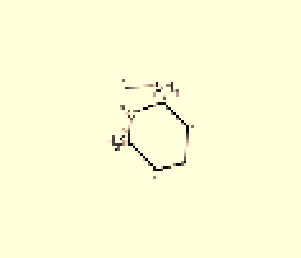 C1CC[SiH2]OC1.C[SiH3]